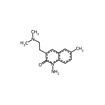 Cc1ccc2c(c1)cc(CCN(C)C)c(=O)n2N